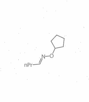 CCCC=NOC1CCCC1